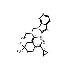 CCC(C)CN(Cn1nnc2ccccc21)/C(C)=C1\CC(C)(C)CC\C1=C(\C)C1CC1